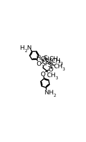 CC1(Oc2ccc(N)cc2)C[Si](C)(Oc2ccc(N)cc2)[Si](C)(C)[Si](C)(C)O1